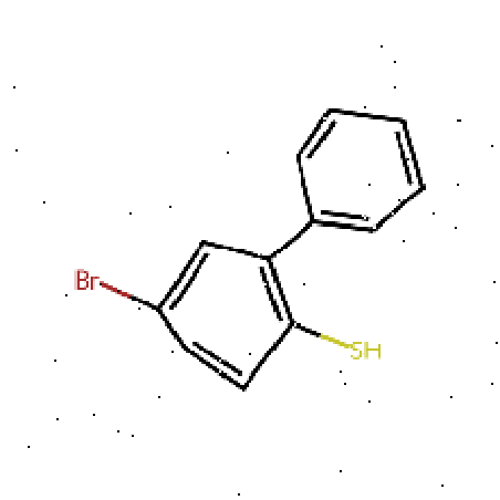 Sc1ccc(Br)cc1-c1ccccc1